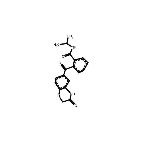 CC(C)NC(=O)c1ccccc1C(=O)c1ccc2c(c1)NC(=O)CO2